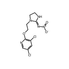 O=[N+]([O-])/N=C1\NCCN1CCOc1ncc(Cl)cc1Cl